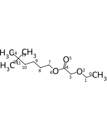 CCOCC(=O)OCCCCC(C)(C)C